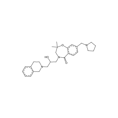 CC1(C)CN(CC(O)CN2CCc3ccccc3C2)C(=O)c2ccc(CN3CCCC3)cc2O1